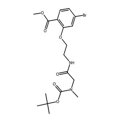 COC(=O)c1ccc(Br)cc1OCCNC(=O)CN(C)C(=O)OC(C)(C)C